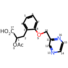 CC(=O)OC(Cc1ccccc1OCc1cnccn1)C(=O)O